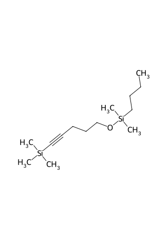 CCCC[Si](C)(C)OCCCC#C[Si](C)(C)C